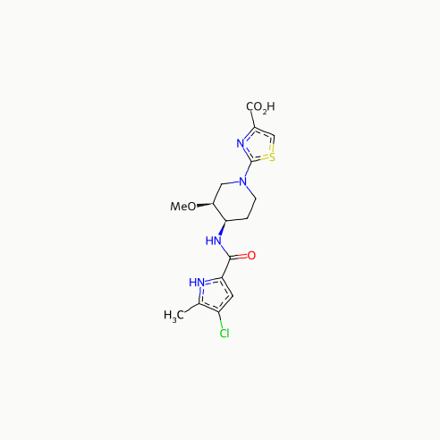 CO[C@H]1CN(c2nc(C(=O)O)cs2)CC[C@H]1NC(=O)c1cc(Cl)c(C)[nH]1